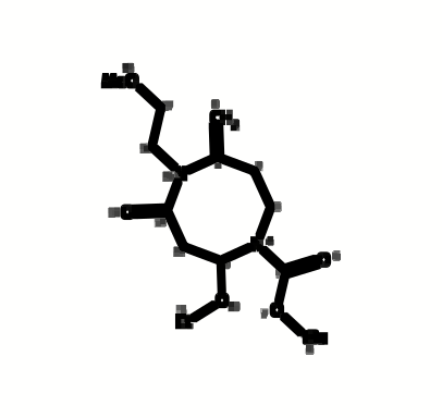 C=C1CCN(C(=O)OC(C)(C)C)C(OCC)CC(=O)N1CCOC